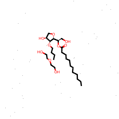 CCCCCCCCCCCC(=O)O[C@H](CO)[C@H]1OC[C@H](O)[C@H]1OCCCC.OCCOCCO